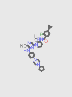 C[C@@H]1[C@H](NC(=O)c2ccc(C3CC3)cc2F)CCCN1c1cnc(C#N)c(Nc2ccc(N3CCN(C4CCCC4)CC3)cc2)n1